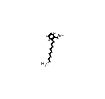 CCCCCCCCCCc1ccccc1C[Se]